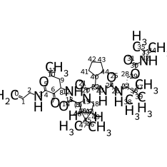 C=CCNC(=O)C(=O)C(CCC)NC(=O)[C@@H]1[C@@H]2[C@H](CN1C(=O)[C@@H](NC(=O)N[C@H](COC(=O)NC(C)C)C(C)(C)C)C1CCCC1)C2(C)C